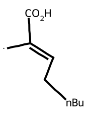 [CH2]C(=CCCCCC)C(=O)O